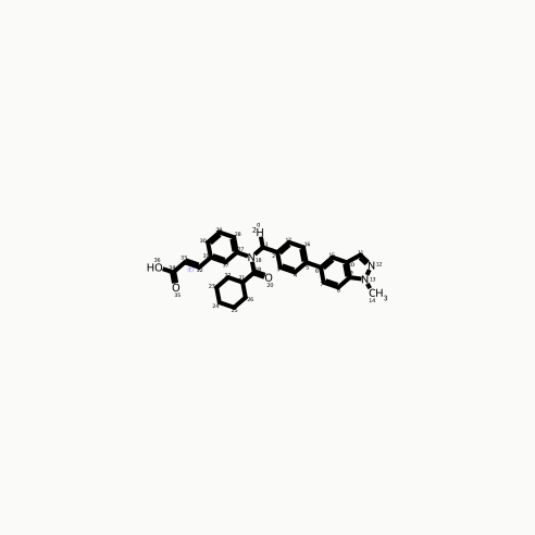 [2H]C(c1ccc(-c2ccc3c(cnn3C)c2)cc1)N(C(=O)C1CCCCC1)c1cccc(/C=C/C(=O)O)c1